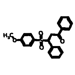 COc1ccc(S(=O)(=O)C(CC(=O)c2ccccc2)c2ccccc2)cc1